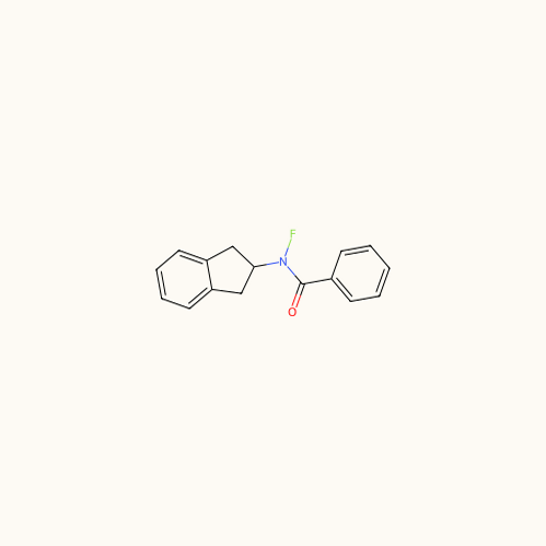 O=C(c1ccccc1)N(F)C1Cc2ccccc2C1